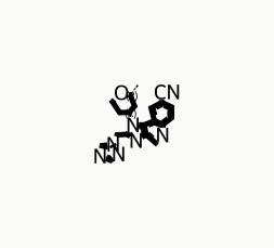 C[C@@H]1C[C@H](n2c(Cn3cncn3)nc3cnc4ccc(C#N)cc4c32)CCO1